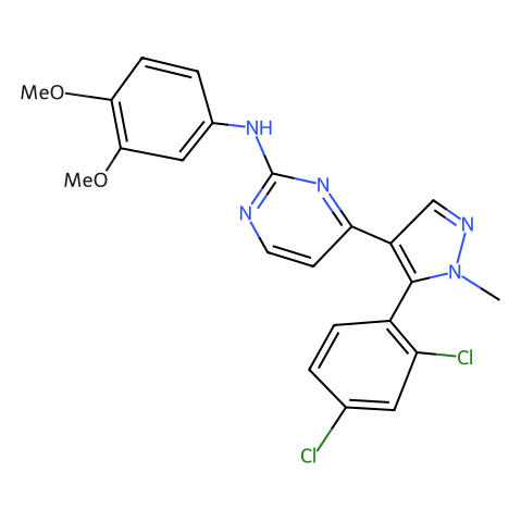 COc1ccc(Nc2nccc(-c3cnn(C)c3-c3ccc(Cl)cc3Cl)n2)cc1OC